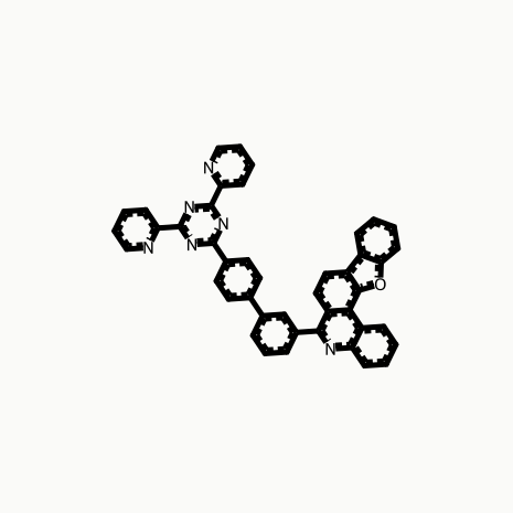 c1ccc(-c2nc(-c3ccc(-c4cccc(-c5nc6ccccc6c6c5ccc5c7ccccc7oc56)c4)cc3)nc(-c3ccccn3)n2)nc1